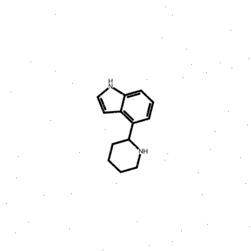 c1cc(C2CCCCN2)c2cc[nH]c2c1